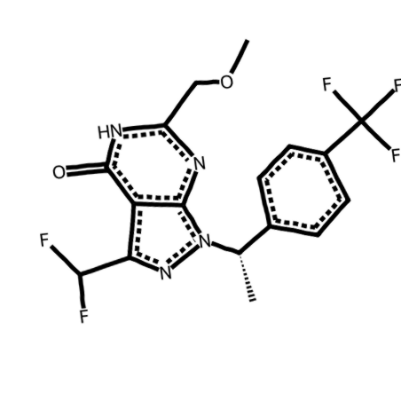 COCc1nc2c(c(C(F)F)nn2[C@@H](C)c2ccc(C(F)(F)F)cc2)c(=O)[nH]1